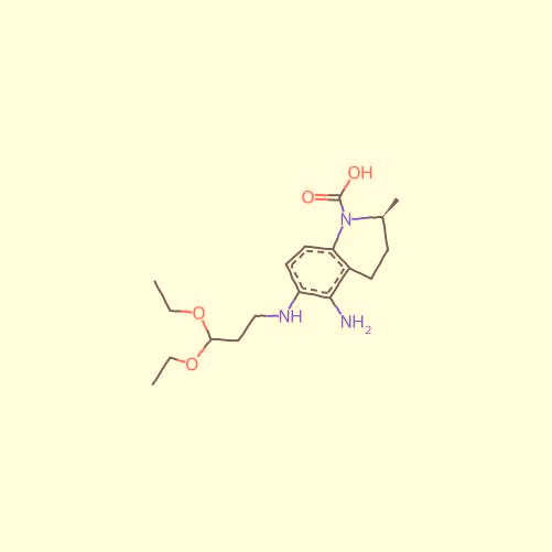 CCOC(CCNc1ccc2c(c1N)CC[C@H](C)N2C(=O)O)OCC